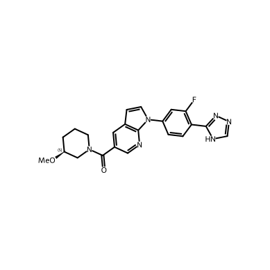 CO[C@H]1CCCN(C(=O)c2cnc3c(ccn3-c3ccc(-c4nnc[nH]4)c(F)c3)c2)C1